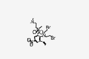 C#Cc1cc([N+](=O)[O-])cc(S(=O)(=O)N(C)CCN(C)C)c1N(CCBr)CCBr